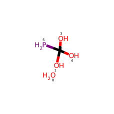 O.OC(O)(O)P